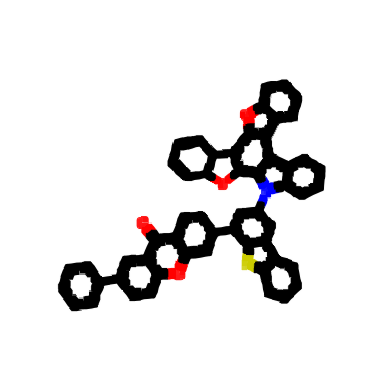 O=c1c2ccc(-c3cc(-n4c5ccccc5c5c6c(oc7ccccc76)c6c(c54)OC4C=CC=CC64)cc4c3sc3ccccc34)cc2oc2ccc(-c3ccccc3)cc12